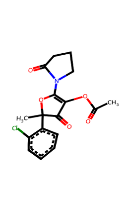 CC(=O)OC1=C(N2CCCC2=O)OC(C)(c2ccccc2Cl)C1=O